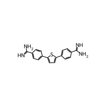 N=C(N)c1ccc(-c2ccc(-c3ccc(C(=N)N)cc3)s2)cc1